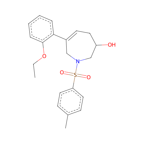 CCOc1ccccc1C1=CCC(O)CN(S(=O)(=O)c2ccc(C)cc2)C1